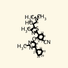 Cc1nc(Oc2cc(C#N)ccc2-c2nc(C)c(C(O)CN(C)C)s2)cc(-c2ccccc2)n1